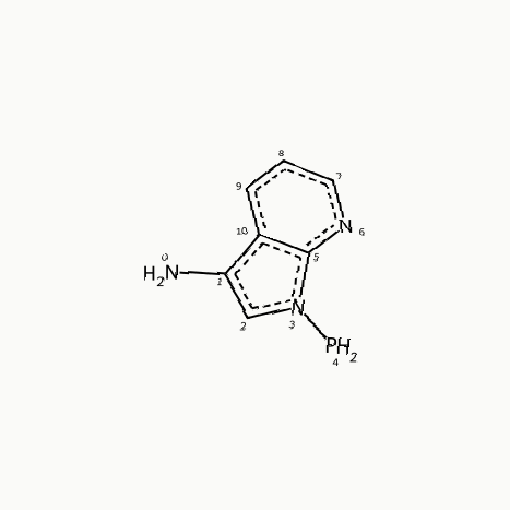 Nc1cn(P)c2ncccc12